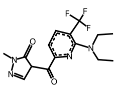 CCN(CC)c1nc(C(=O)C2C=NN(C)C2=O)ccc1C(F)(F)F